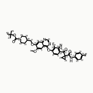 COc1cc2c(Oc3ccc(C(=O)C4(C(=O)Nc5ccc(F)cc5)CC4)c(N)c3F)ncnc2cc1OCC1CCN(C(=O)OC(C)(C)C)CC1